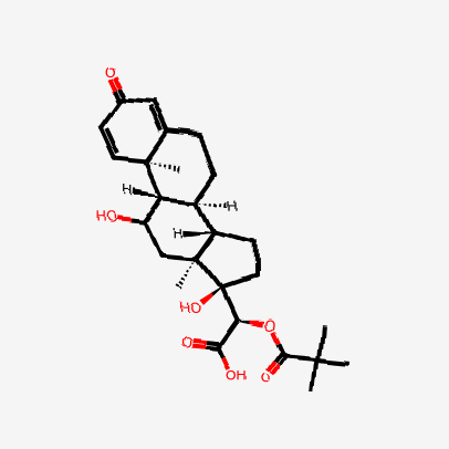 CC(C)(C)C(=O)O[C@@H](C(=O)O)[C@@]1(O)CC[C@H]2[C@@H]3CCC4=CC(=O)C=C[C@]4(C)[C@H]3C(O)C[C@@]21C